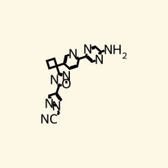 N#CCn1cc(-c2nc(C3(c4ccc(-c5cnc(N)cn5)nc4)CCC3)no2)cn1